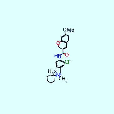 COc1ccc2c(c1)OCC(C(=O)Nc1ccc(C[N+](C)(C)C3CCCCC3)cc1)=C2.[Cl-]